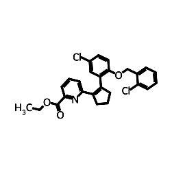 CCOC(=O)c1cccc(C2=C(c3cc(Cl)ccc3OCc3ccccc3Cl)CCC2)n1